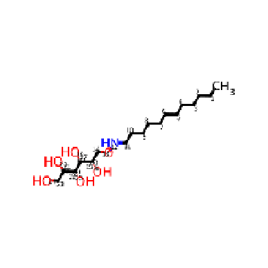 CCCCCCCCCCCCNOC[C@H](O)[C@@H](O)[C@H](O)[C@H](O)CO